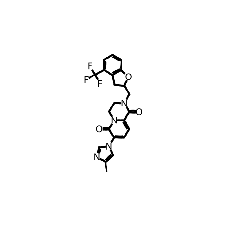 Cc1cn(-c2ccc3n(c2=O)CCN(CC2Cc4c(cccc4C(F)(F)F)O2)C3=O)cn1